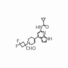 O=CC1(N2CC=C(c3cc(NC(=O)C4CC4)nc4[nH]ccc34)CC2)CC(F)(F)C1